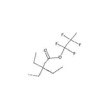 CCC(CC)(CC)C(=O)OC(F)(F)C(C)(F)F